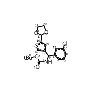 CC(C)(C)OC(=O)NC(c1cccc(Cl)c1)c1csc(C2OCCO2)c1